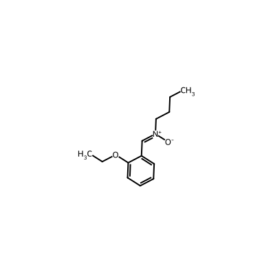 CCCC[N+]([O-])=Cc1ccccc1OCC